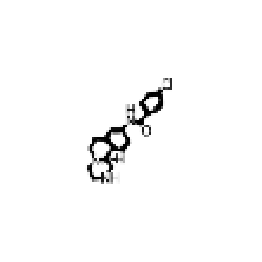 O=C(Nc1ccc2c(c1)CCN1CCNC[C@@H]21)c1ccc(Cl)cc1